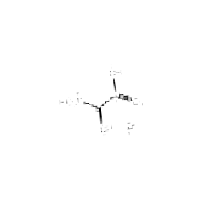 O=C(O)C(O)S(=O)O.[Zn]